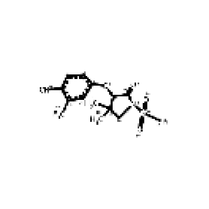 [C-]#[N+]c1ccc(OC2C(=O)N(S(=O)(=O)C(C)C)CC2(C)C)cc1C(F)(F)F